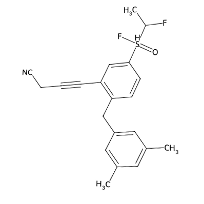 Cc1cc(C)cc(Cc2ccc([SH](=O)(F)C(C)F)cc2C#CCC#N)c1